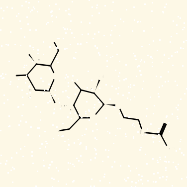 CCCCCCCCCCC(=O)NCCO[C@H]1OC(CO)[C@H](O[C@@H]2OC(CO)[C@H](O)C(O)[C@H]2O)C(O)[C@H]1O